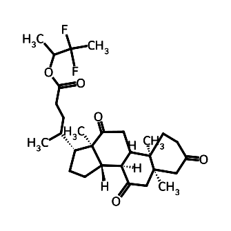 CC(CCC(=O)OC(C)C(C)(F)F)[C@H]1CC[C@H]2[C@@H]3C(=O)C[C@]4(C)CC(=O)CC[C@]4(C)[C@H]3CC(=O)[C@]12C